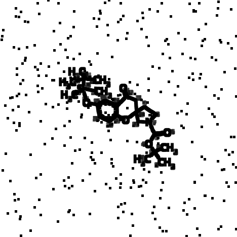 CC(C)(C)OC(=O)N1CCC2(CC(=O)c3cc(O[Si](C)(C)C(C)(C)C)ccc3O2)C1